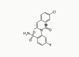 C/C(=C/c1ccc(Cl)cc1)N(c1cc(F)ccc1S(N)(=O)=O)[SH](=O)=O